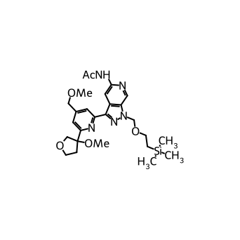 COCc1cc(-c2nn(COCC[Si](C)(C)C)c3cnc(NC(C)=O)cc23)nc(C2(OC)CCOC2)c1